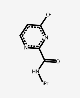 CC(C)NC(=O)c1nccc([O])n1